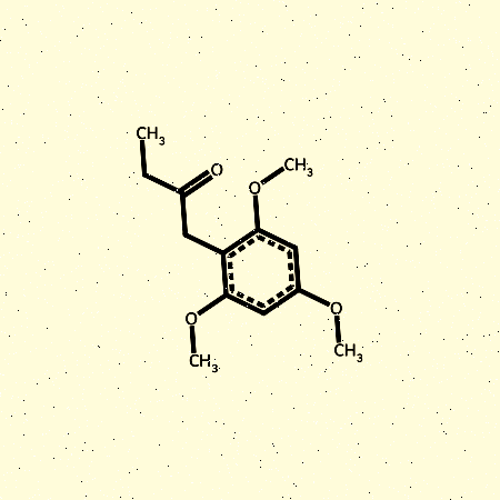 CCC(=O)Cc1c(OC)cc(OC)cc1OC